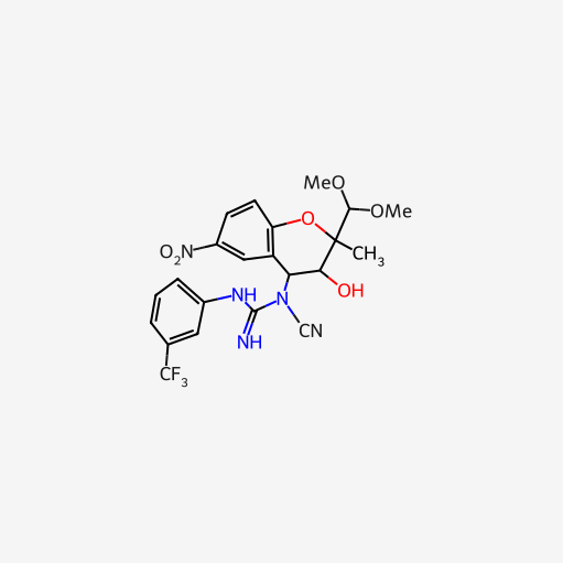 COC(OC)C1(C)Oc2ccc([N+](=O)[O-])cc2C(N(C#N)C(=N)Nc2cccc(C(F)(F)F)c2)C1O